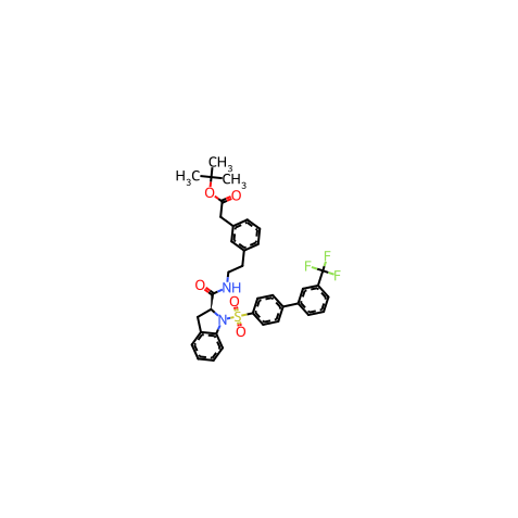 CC(C)(C)OC(=O)Cc1cccc(CCNC(=O)[C@@H]2Cc3ccccc3N2S(=O)(=O)c2ccc(-c3cccc(C(F)(F)F)c3)cc2)c1